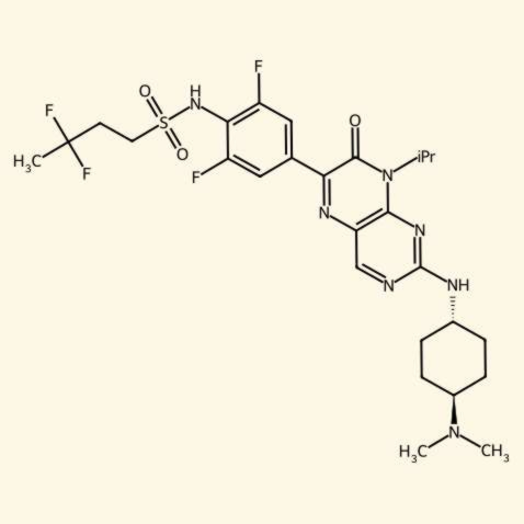 CC(C)n1c(=O)c(-c2cc(F)c(NS(=O)(=O)CCC(C)(F)F)c(F)c2)nc2cnc(N[C@H]3CC[C@H](N(C)C)CC3)nc21